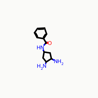 NC1CC(NC(=O)c2ccccc2)CC1N